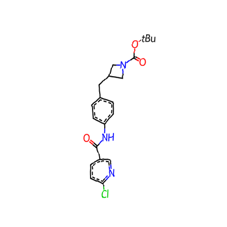 CC(C)(C)OC(=O)N1CC(Cc2ccc(NC(=O)c3ccc(Cl)nc3)cc2)C1